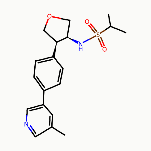 Cc1cncc(-c2ccc([C@H]3COC[C@H]3NS(=O)(=O)C(C)C)cc2)c1